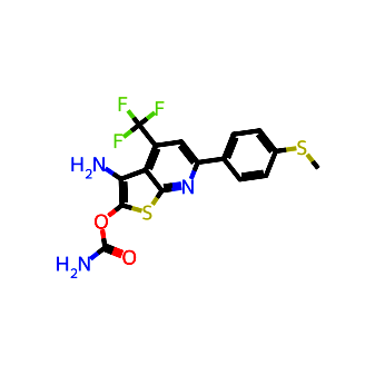 CSc1ccc(-c2cc(C(F)(F)F)c3c(N)c(OC(N)=O)sc3n2)cc1